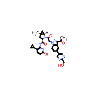 CC(=O)c1nn(CC(=O)N2[C@H](C(=O)Nc3nc(Br)ccc3C3CC3)C[C@@]3(C)C[C@@H]23)c2ccc(-c3cnc(CO)nc3)cc12